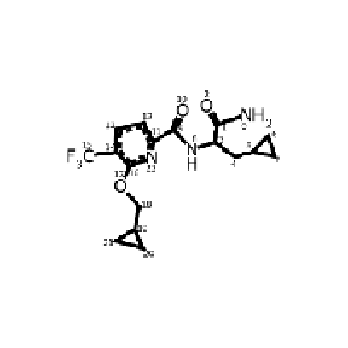 NC(=O)C(CC1CC1)NC(=O)c1ccc(C(F)(F)F)c(OCC2CC2)n1